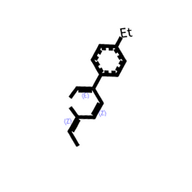 C\C=C(C)/C=C\C(=C/C)c1ccc(CC)cc1